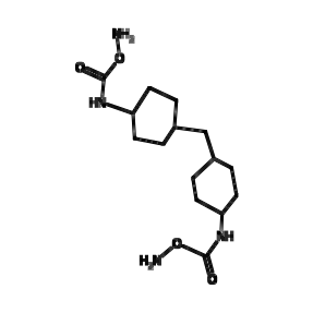 NOC(=O)NC1CCC(CC2CCC(NC(=O)ON)CC2)CC1